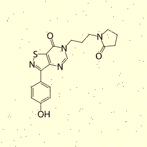 O=C1CCCN1CCCn1cnc2c(-c3ccc(O)cc3)nsc2c1=O